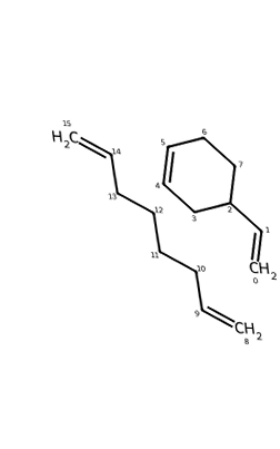 C=CC1CC=CCC1.C=CCCCCC=C